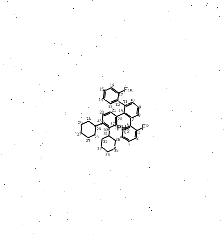 Fc1ccccc1-c1cccc(-c2ccccc2F)c1-c1ccc(C2CCCCC2)c(C2CCCCC2)c1P